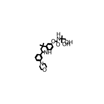 CC(CO)(CO)NC(=O)Oc1ccc2c(c1)C(C)(C)CC(c1cccc(N3CCOCC3)c1)N2